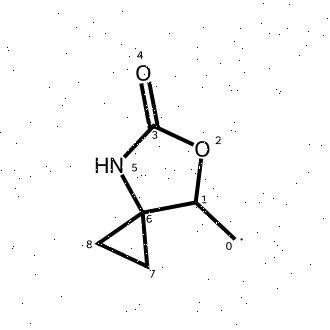 [CH2]C1OC(=O)NC12CC2